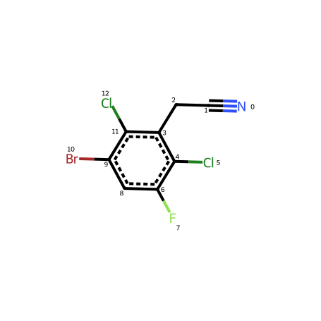 N#CCc1c(Cl)c(F)cc(Br)c1Cl